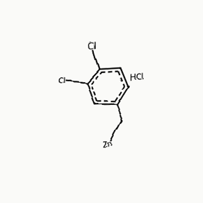 Cl.Clc1ccc([CH2][Zn])cc1Cl